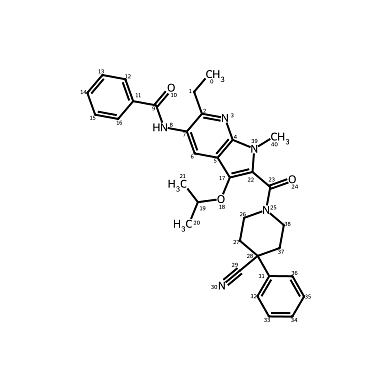 CCc1nc2c(cc1NC(=O)c1ccccc1)c(OC(C)C)c(C(=O)N1CCC(C#N)(c3ccccc3)CC1)n2C